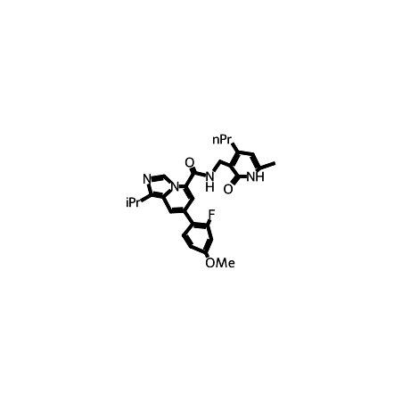 CCCc1cc(C)[nH]c(=O)c1CNC(=O)c1cc(-c2ccc(OC)cc2F)cc2c(C(C)C)ncn12